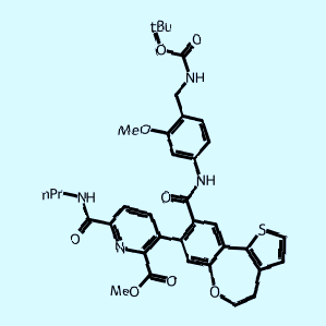 CCCNC(=O)c1ccc(-c2cc3c(cc2C(=O)Nc2ccc(CNC(=O)OC(C)(C)C)c(OC)c2)-c2sccc2CCO3)c(C(=O)OC)n1